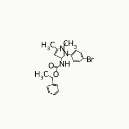 CC1=CC(NC(=O)OC(C)c2ccccc2)N(c2ccc(Br)cc2)N1C